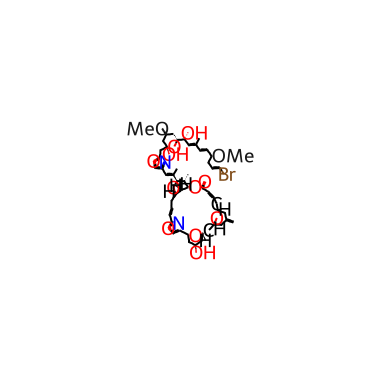 C=C1C[C@@H]2C[C@@H]3C[C@@H](O)CC(O3)c3coc(n3)/C=C/C[C@H]3O[C@@H](/C(C)=C/c4coc(C[C@]5(O)CC(OC)C[C@H]([C@H](O)/C=C(C)/C=C/C(C/C=C/Br)OC)O5)n4)[C@H](C)[C@@H](OC(=O)/C=C\C[C@@H](C1)O2)[C@H]3C